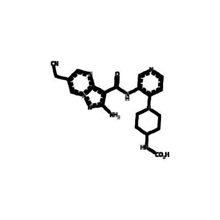 N#CCc1cnc2c(C(=O)Nc3cnccc3N3CCC(NC(=O)O)CC3)c(N)nn2c1